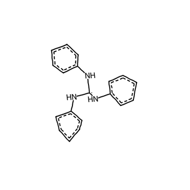 c1ccc(N[C](Nc2ccccc2)Nc2ccccc2)cc1